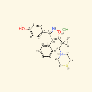 Cl.Oc1ccc(-c2noc(C3(CN4CCSCC4)CC3)c2-c2ccccc2)cc1